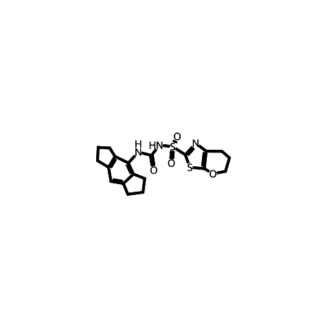 O=C(Nc1c2c(cc3c1CCC3)CCC2)NS(=O)(=O)c1nc2c(s1)OCCC2